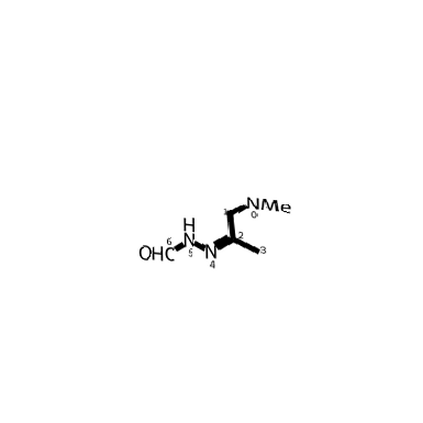 CNC/C(C)=N\NC=O